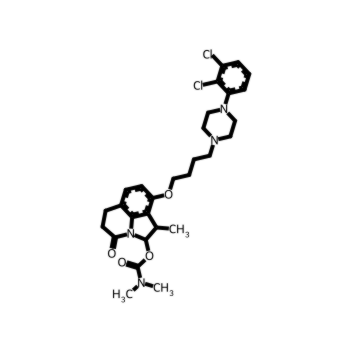 CC1c2c(OCCCCN3CCN(c4cccc(Cl)c4Cl)CC3)ccc3c2N(C(=O)CC3)C1OC(=O)N(C)C